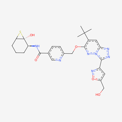 CC(C)(C)c1cc2nnc(-c3cc(CO)on3)n2nc1OCc1ccc(C(=O)N[C@H]2CCCC3S[C@]32O)cn1